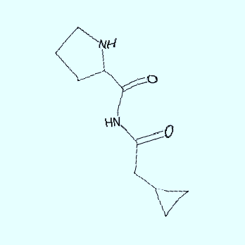 O=C(CC1CC1)NC(=O)C1CCCN1